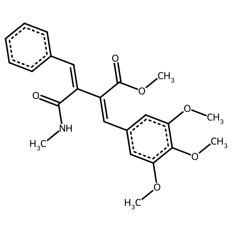 CNC(=O)C(=Cc1ccccc1)C(=Cc1cc(OC)c(OC)c(OC)c1)C(=O)OC